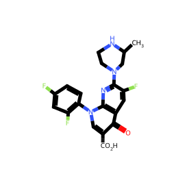 CC1CN(c2nc3c(cc2F)c(=O)c(C(=O)O)cn3-c2ccc(F)cc2F)CCN1